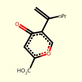 C=C(CCC)c1coc(C(=O)O)cc1=O